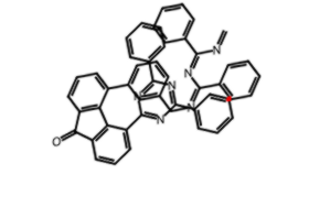 C=N/C(=N\C(=N/Cc1cccc(-c2cccc3c2-c2c(cccc2-c2nc(-c4ccccc4)nc(-c4ccccc4)n2)C3=O)c1)c1ccccc1)c1ccccc1